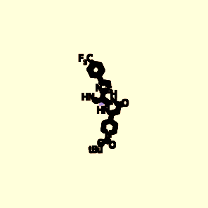 CC(C)(C)OC(=O)N1CCC(C2=CC(=O)N/C(=C(/C=N)c3nc(-c4ccc(C(F)(F)F)cc4)cs3)N2)CC1